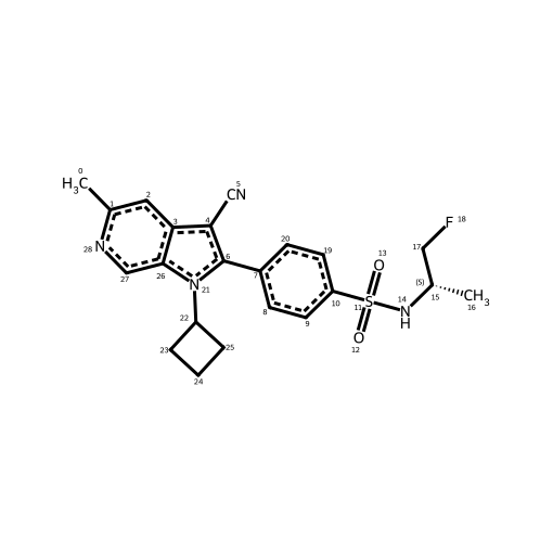 Cc1cc2c(C#N)c(-c3ccc(S(=O)(=O)N[C@@H](C)CF)cc3)n(C3CCC3)c2cn1